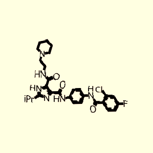 CC(C)c1nc(C(=O)Nc2ccc(NC(=O)c3ccc(F)cc3Cl)cc2)c(C(=O)NCCN2CCCCC2)[nH]1